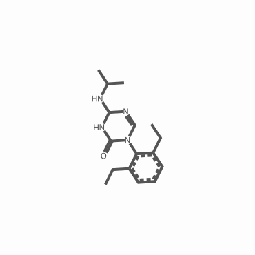 CCc1cccc(CC)c1N1C=NC(NC(C)C)NC1=O